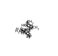 COc1cc2nc(C)nc(NCc3cc(NC(=O)OC(C)(C)C)cc(C(F)(F)F)c3)c2cc1O